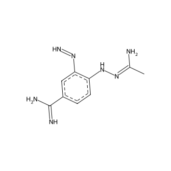 CC(N)=NNc1ccc(C(=N)N)cc1N=N